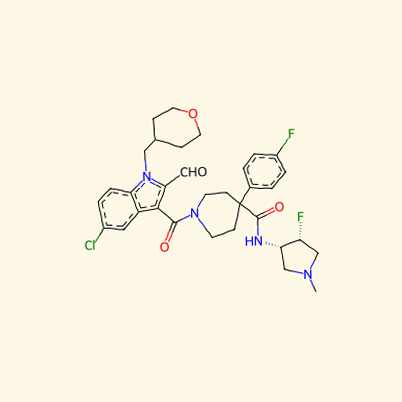 CN1C[C@@H](F)[C@@H](NC(=O)C2(c3ccc(F)cc3)CCN(C(=O)c3c(C=O)n(CC4CCOCC4)c4ccc(Cl)cc34)CC2)C1